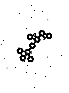 c1ccc(-c2nc(-c3ccc(-c4ccc(-c5cccc6c5sc5ccccc56)c5oc6ccccc6c45)cc3)cc(-c3ccccc3-c3ccncc3)n2)cc1